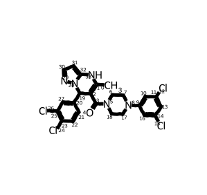 CC1=C(C(=O)N2CCN(c3cc(Cl)cc(Cl)c3)CC2)C(c2ccc(Cl)c(Cl)c2)n2nccc2N1